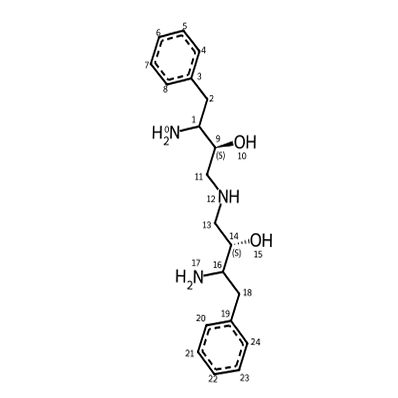 NC(Cc1ccccc1)[C@@H](O)CNC[C@H](O)C(N)Cc1ccccc1